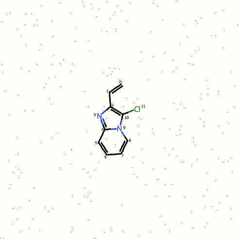 C=Cc1nc2ccccn2c1Cl